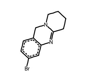 Brc1ccc2c(c1)N=C1CCCCN1C2